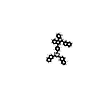 c1ccc2cc(-c3cc(-c4ccc5ccccc5c4)nc(-c4ccc(-c5cc6c(-c7ccc8ccccc8c7)nc7ccccc7c6c6ccccc56)cc4)n3)ccc2c1